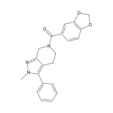 Cn1nc2c(c1-c1ccccc1)CCN(C(=O)c1ccc3c(c1)OCO3)C2